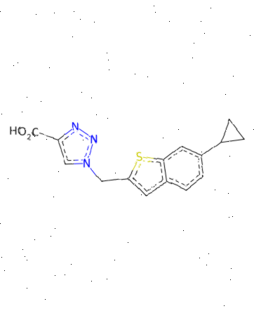 O=C(O)c1cn(Cc2cc3ccc(C4CC4)cc3s2)nn1